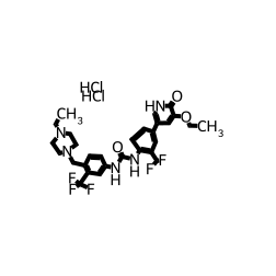 CCOc1cc(-c2ccc(NC(=O)Nc3ccc(CN4CCN(CC)CC4)c(C(F)(F)F)c3)c(C(F)F)c2)c[nH]c1=O.Cl.Cl